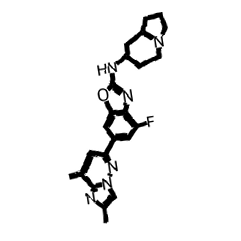 Cc1cn2nc(-c3cc(F)c4nc(NC5CCN6CCCC6C5)oc4c3)cc(C)c2n1